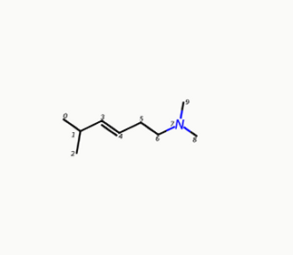 CC(C)C=CCCN(C)C